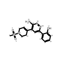 CS(=O)(=O)N1CC=C(c2cc(-c3ccccc3O)nnc2N)CC1